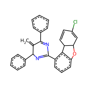 C=C1C(c2ccccc2)=NC(c2cccc3c2C2C=CC(Cl)=CC2O3)=NC1c1ccccc1